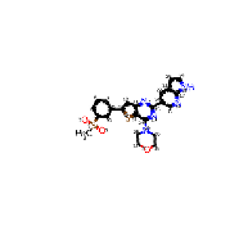 CS(=O)(=O)c1cccc(-c2cc3nc(-c4cnc5[nH]ccc5c4)nc(N4CCOCC4)c3s2)c1